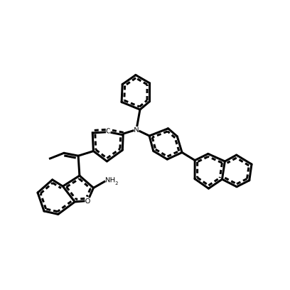 C/C=C(/c1ccc(N(c2ccccc2)c2ccc(-c3ccc4ccccc4c3)cc2)cc1)c1c(N)oc2ccccc12